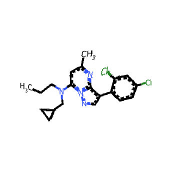 CCCN(CC1CC1)c1cc(C)nc2c(-c3ccc(Cl)cc3Cl)cnn12